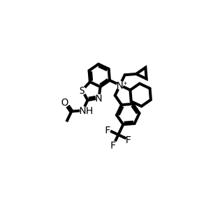 CC(=O)Nc1nc2c([N+](Cc3[c]ccc(C(F)(F)F)c3)(CC3CC3)C3CCCCC3)cccc2s1